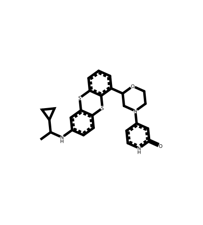 CC(Nc1ccc2c(c1)Sc1cccc(C3CN(c4cc[nH]c(=O)c4)CCO3)c1S2)C1CC1